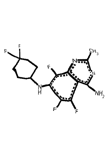 Cc1nc(N)c2c(F)c(F)c(NC3CCC(F)(F)CC3)c(F)c2n1